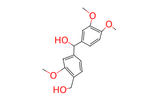 COc1cc(C(O)c2ccc(OC)c(OC)c2)ccc1CO